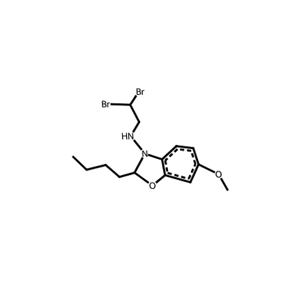 CCCCC1Oc2cc(OC)ccc2N1NCC(Br)Br